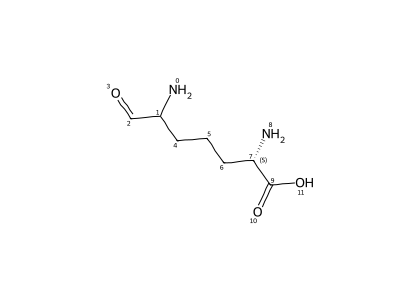 NC(C=O)CCC[C@H](N)C(=O)O